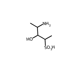 CC(N)C(O)C(C)S(=O)(=O)O